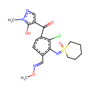 CON=Cc1ccc(C(=O)c2cnn(C)c2O)c(Cl)c1N=S1(=O)CCCCC1